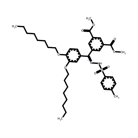 CCCCCCCCOc1ccc(/C(=N/NS(=O)(=O)c2ccc(C)cc2)c2cc(C(=O)OC)cc(C(=O)OC)c2)cc1OCCCCCCCC